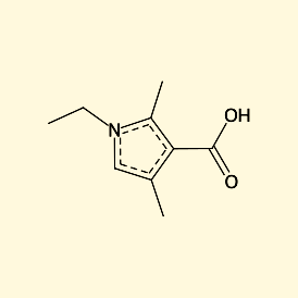 CCn1cc(C)c(C(=O)O)c1C